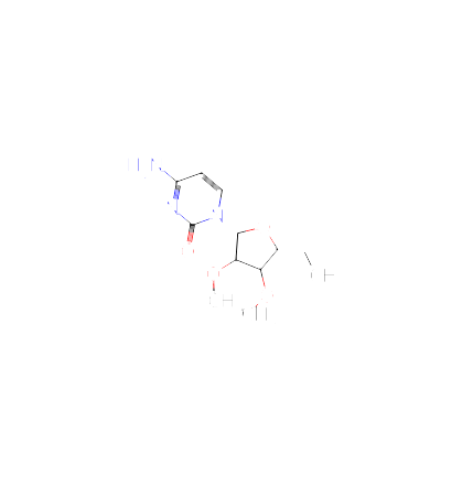 CC[C@H]1O[C@@H](n2ccc(N)nc2=O)C(OC)C1OC